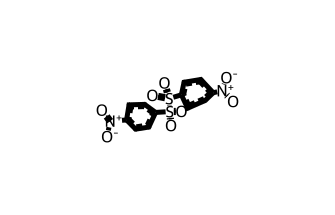 O=[N+]([O-])c1ccc(S(=O)(=O)S(=O)(=O)c2ccc([N+](=O)[O-])cc2)cc1